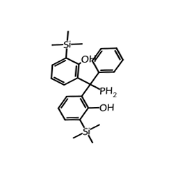 C[Si](C)(C)c1cccc(C(P)(c2ccccc2)c2cccc([Si](C)(C)C)c2O)c1O